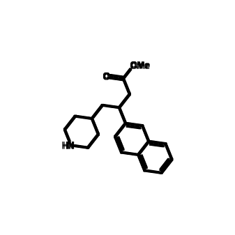 COC(=O)CC(CC1CCNCC1)c1ccc2ccccc2c1